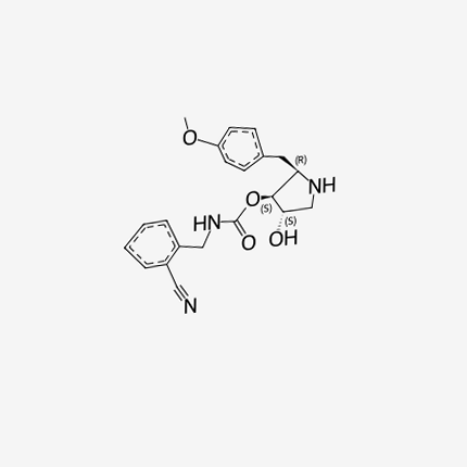 COc1ccc(C[C@H]2NC[C@H](O)[C@H]2OC(=O)NCc2ccccc2C#N)cc1